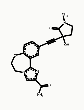 CN1CCC(O)(C#Cc2ccc3c(c2)-c2nc(C(N)=O)cn2CCO3)C1=O